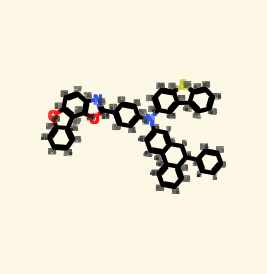 c1ccc(C2Cc3cc(N(c4ccc(-c5nc6ccc7oc8ccccc8c7c6o5)cc4)c4ccc5sc6ccccc6c5c4)ccc3-c3ccccc32)cc1